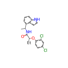 CCC(Oc1ccc(Cl)cc1Cl)C(=O)NC(C)c1cccc2[nH]ccc12